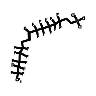 F/C(=C\CC(F)(F)C(F)(F)C(F)(F)C(F)(F)C(F)(F)C(F)(F)F)C(F)(F)C(F)(F)C(F)(F)C(F)(F)C(F)(F)CC[Si](Cl)(Cl)Cl